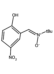 CC(C)(C)[N+]([O-])=Cc1cc([N+](=O)[O-])ccc1O